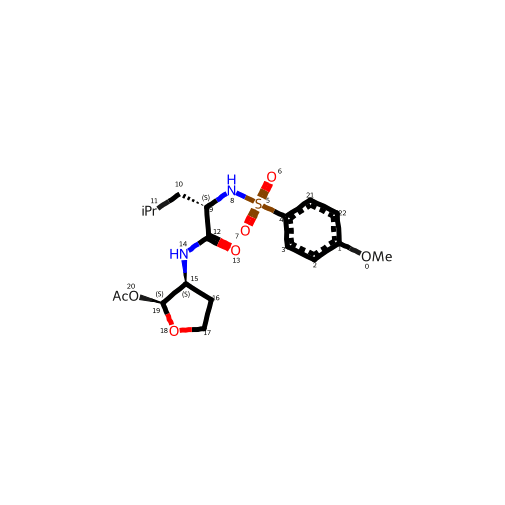 COc1ccc(S(=O)(=O)N[C@@H](CC(C)C)C(=O)N[C@H]2CCO[C@H]2OC(C)=O)cc1